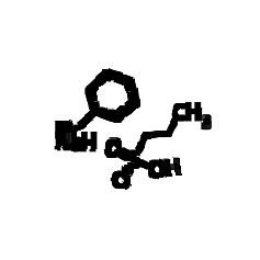 CC(C)c1ccccc1.CCCS(=O)(=O)O.[NaH]